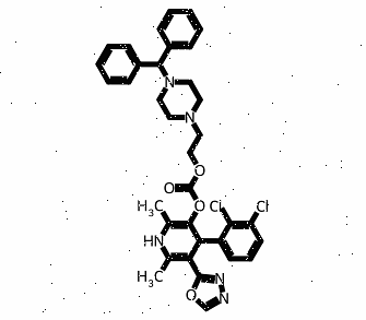 CC1=C(OC(=O)OCCN2CCN(C(c3ccccc3)c3ccccc3)CC2)C(c2cccc(Cl)c2Cl)C(c2nnco2)=C(C)N1